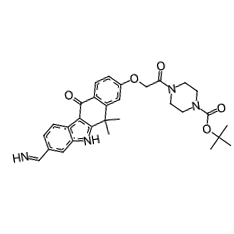 CC(C)(C)OC(=O)N1CCN(C(=O)COc2ccc3c(c2)C(C)(C)c2[nH]c4cc(C=N)ccc4c2C3=O)CC1